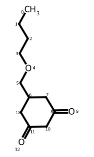 CCCCOCC1CC(=O)CC(=O)C1